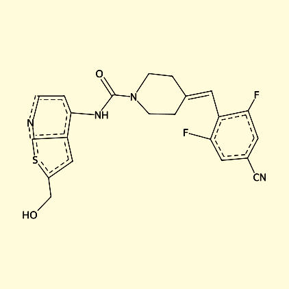 N#Cc1cc(F)c(C=C2CCN(C(=O)Nc3ccnc4sc(CO)cc34)CC2)c(F)c1